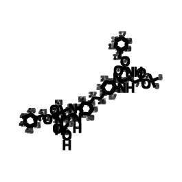 CC(C)(C)OC(=O)C[C@H](NC(=O)OCc1ccccc1)c1nc2ccc(CCc3ccc4[nH]c([C@@](CC(=O)O)(NC(=O)OCc5ccccc5)C(C)(C)C)nc4c3)cc2[nH]1